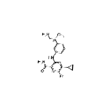 CCc1nc(C(N)=O)c(Nc2cccc([C@@H](C)CN)c2)nc1C1CC1